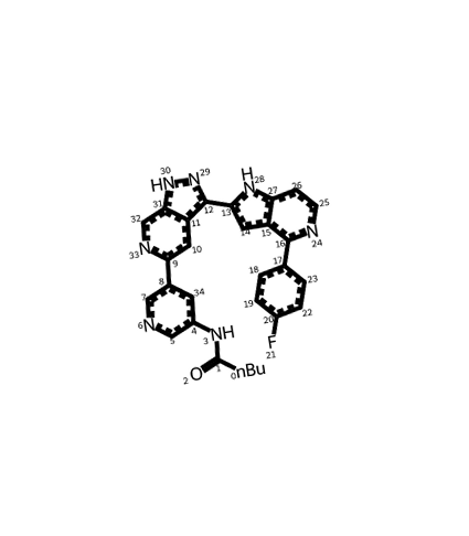 CCCCC(=O)Nc1cncc(-c2cc3c(-c4cc5c(-c6ccc(F)cc6)nccc5[nH]4)n[nH]c3cn2)c1